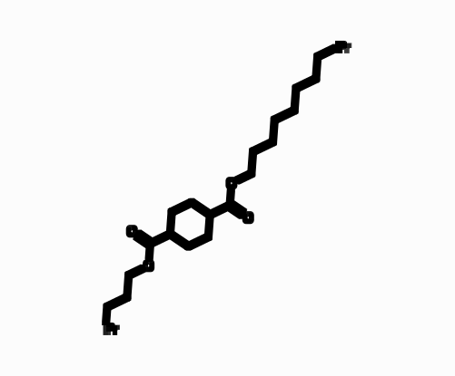 CC(C)CCCCCCCCOC(=O)C1CCC(C(=O)OCCCC(C)C)CC1